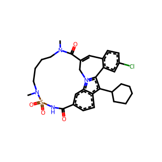 CN1CCCCN(C)S(=O)(=O)NC(=O)c2ccc3c(C4CCCCC4)c4n(c3c2)CC(=Cc2ccc(Cl)cc2-4)C1=O